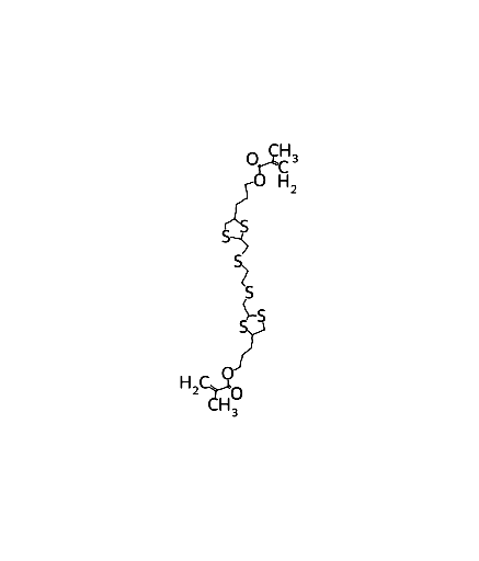 C=C(C)C(=O)OCCCC1CSC(CSCCSCC2SCC(CCCOC(=O)C(=C)C)S2)S1